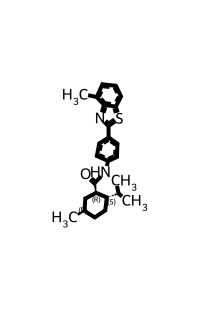 Cc1cccc2sc(-c3ccc(NC(=O)[C@@H]4C[C@H](C)CC[C@H]4C(C)C)cc3)nc12